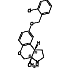 C[C@@]12COc3ccc(OCc4ccccc4Cl)cc3[C@@H]1CCN2